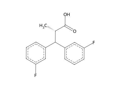 C[C@H](C(=O)O)C(c1cccc(F)c1)c1cccc(F)c1